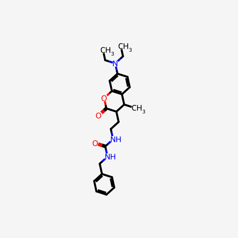 CCN(CC)c1ccc2c(c1)OC(=O)C(CCNC(=O)NCc1ccccc1)C2C